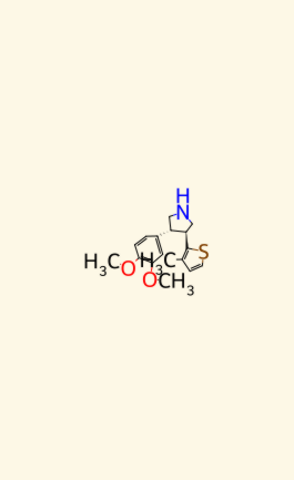 COc1ccc([C@@H]2CNC[C@H]2c2sccc2C)cc1OC